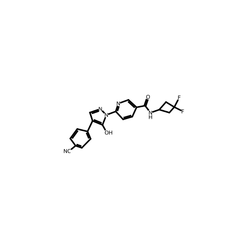 N#Cc1ccc(-c2cnn(-c3ccc(C(=O)NC4CC(F)(F)C4)cn3)c2O)cc1